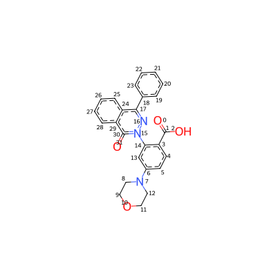 O=C(O)c1ccc(N2CCOCC2)cc1-n1nc(-c2ccccc2)c2ccccc2c1=O